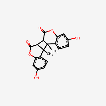 CC12c3ccc(O)cc3OC(=O)C1C1C(=O)Oc3cc(O)ccc3C12C